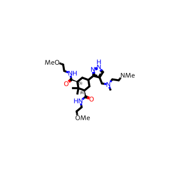 CNCCN(C)Cc1c[nH]nc1C1C[C@H](C(=O)NCCOC)C(C)(C)[C@H](C(=O)NCCOC)C1